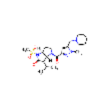 CC(C)[C@H]1C(=O)N(S(C)(=O)=O)[C@H]2CCN(C(=O)c3cc(CN4CCCCC4)n(C)n3)[C@H]12